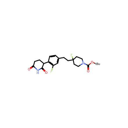 CC(C)(C)OC(=O)N1CCC(F)(CCc2ccc(C3CCC(=O)NC3=O)c(F)c2)CC1